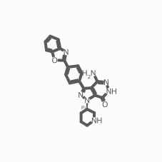 Nc1n[nH]c(=O)c2c1c(-c1ccc(-c3nc4ccccc4o3)cc1)nn2[C@@H]1CCCNC1